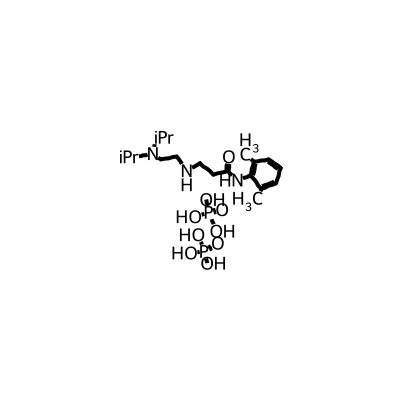 Cc1cccc(C)c1NC(=O)CCNCCN(C(C)C)C(C)C.O=P(O)(O)O.O=P(O)(O)O